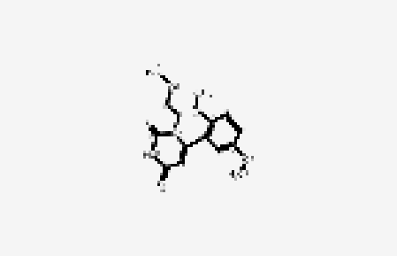 COCCn1c(-c2cc(OC)ccc2OC)cc(=O)[nH]c1=S